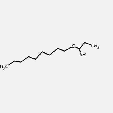 CCCCCCCCCOC(S)CC